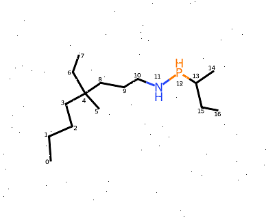 CCCCC(C)(CC)CCCNPC(C)CC